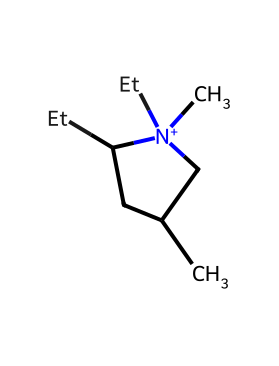 CCC1CC(C)C[N+]1(C)CC